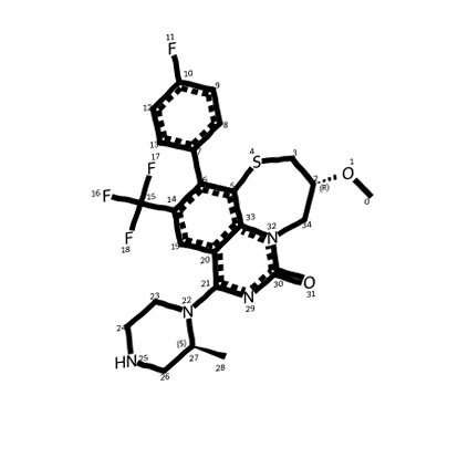 CO[C@H]1CSc2c(-c3ccc(F)cc3)c(C(F)(F)F)cc3c(N4CCNC[C@@H]4C)nc(=O)n(c23)C1